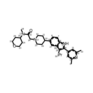 Cc1cc(-c2[nH]c3ccc(C4CCN(CC(=O)N(C)C5CCOCC5)CC4)cc3c2C(C)C)cc(C)n1